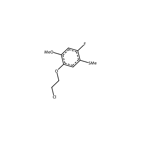 COc1cc(F)c(SC)cc1OCCCl